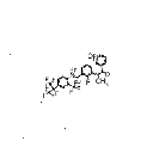 CN(C(=O)c1ccc[n+]([O-])c1)c1cccc(C(=O)N(Br)c2ccc(C(F)(C(F)(F)F)C(F)(F)F)cc2C(F)(F)F)c1F